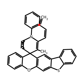 C=C/C=C\C1=C(C)C2(c3ccccc3Oc3cc4sc5ccccc5c4cc32)c2ccccc2N1c1ccccc1